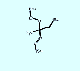 CC(C)(C)CC(C)(/N=N/C(C)(C)C)OOC(C)(C)C